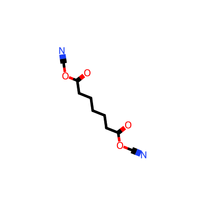 N#COC(=O)CCCCCC(=O)OC#N